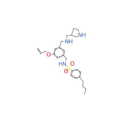 C=CCOc1cc(CNCC2CCNC2)cc(CNS(=O)(=O)c2ccc(CCCC)cc2)c1